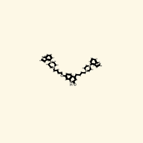 O=c1cc(CCCCN2CCN(c3cccc4sccc34)CC2)c2ccc(OCCCCN3CCN(c4cccc5sccc45)CC3)cc2[nH]1